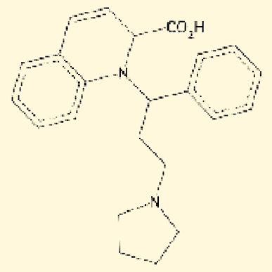 O=C(O)C1C=Cc2ccccc2N1C(CCN1CCCC1)c1ccccc1